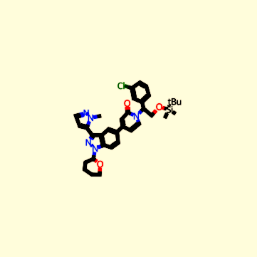 Cn1nccc1-c1nn(C2CCCCO2)c2ccc(-c3ccn(C(CO[Si](C)(C)C(C)(C)C)c4cccc(Cl)c4)c(=O)c3)cc12